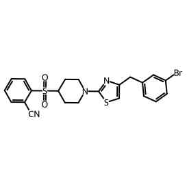 N#Cc1ccccc1S(=O)(=O)C1CCN(c2nc(Cc3cccc(Br)c3)cs2)CC1